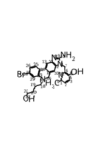 Cc1ccc(O)c(Cn2c(N)nc3ccc(CN(CCCCO)c4cccc(Br)c4)cc32)n1